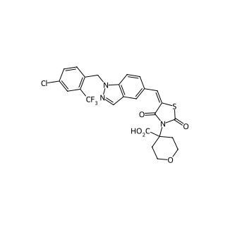 O=C1SC(=Cc2ccc3c(cnn3Cc3ccc(Cl)cc3C(F)(F)F)c2)C(=O)N1C1(C(=O)O)CCOCC1